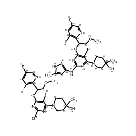 COCC(Oc1nc(Cl)nc(N2CCC(C)(O)CC2)c1F)c1ncc(F)cc1F.COCC(Oc1nc(Nc2cc(C)[nH]n2)nc(N2CCC(C)(O)CC2)c1F)c1ncc(F)cc1F